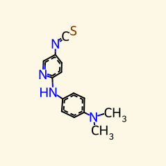 CN(C)c1ccc(Nc2ccc(N=C=S)cn2)cc1